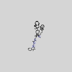 C/C=C(\CCCc1cc2ccccn2c1)N(C1C=CC(c2cc3ccccc3s2)=CC1)[C@@H](C)C/C=C(C)/C(C)=C/C=C1\CC(C)(C)C2C=CC=CC12